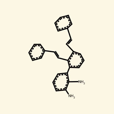 Nc1cccc(-c2cccc(C=Cc3ccccc3)c2C=Cc2ccccc2)c1N